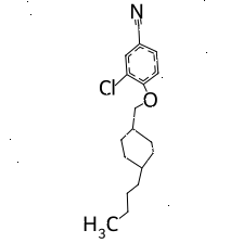 CCCCC1CCC(COc2ccc(C#N)cc2Cl)CC1